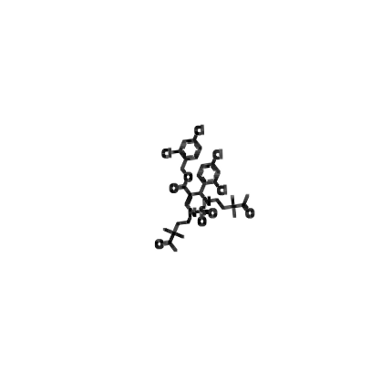 CC(=O)C(C)(C)CCN1C=C(C(=O)OCc2ccc(Cl)cc2Cl)C(c2ccc(Cl)cc2Cl)N(CCC(C)(C)C(C)=O)S1(=O)=O